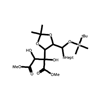 CCCCCCCC(O[Si](C)(C)C(C)(C)C)C1OC(C)(C)OC1C(O)(C(=O)OC)C(O)C(=O)OC